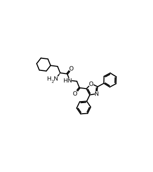 N[C@@H](CC1CCCCC1)C(=O)NCC(=O)c1oc(-c2ccccc2)nc1-c1ccccc1